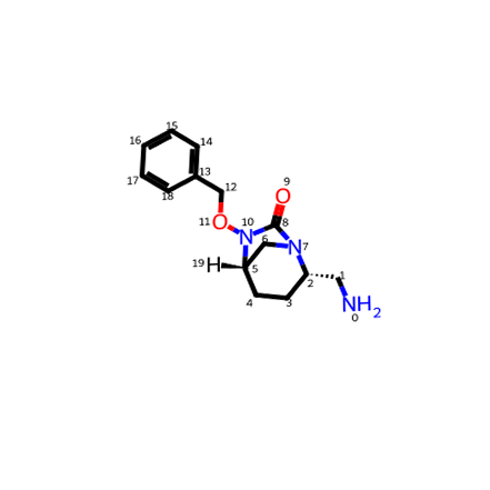 NC[C@@H]1CC[C@H]2CN1C(=O)N2OCc1ccccc1